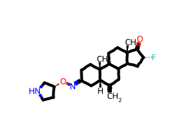 C=C1CC2C3C[C@@H](F)C(=O)[C@@]3(C)CCC2[C@@]2(C)CCC(=NO[C@@H]3CCNC3)C[C@@H]12